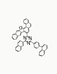 c1ccc2cc(-c3nc(-c4ccc(-c5cccc6ccccc56)cc4)nc(-c4cc5ccc6ccccc6c5c5oc6cc7ccccc7cc6c45)n3)ccc2c1